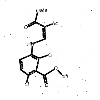 CCCOC(=O)c1c(Cl)ccc(NC=C(C(C)=O)C(=O)OC)c1Cl